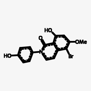 COc1cc(O)c2c(=O)n(-c3ccc(O)cc3)ccc2c1Br